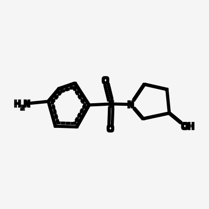 Nc1ccc(S(=O)(=O)N2CCC(O)C2)cc1